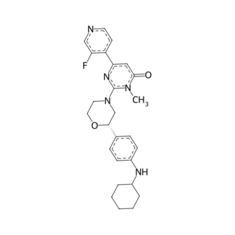 Cn1c(N2CCO[C@@H](c3ccc(NC4CCCCC4)cc3)C2)nc(-c2ccncc2F)cc1=O